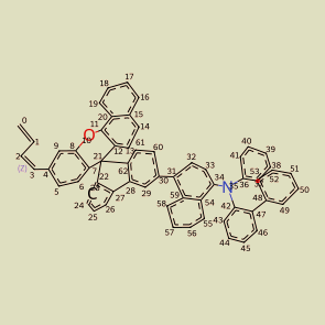 C=C/C=C\c1ccc2c(c1)Oc1c(ccc3ccccc13)C21c2ccccc2-c2cc(-c3ccc(N(c4ccccc4)c4ccccc4-c4ccccc4)c4ccccc34)ccc21